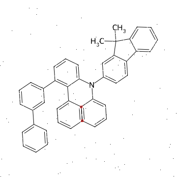 CC1(C)c2ccccc2-c2ccc(N(c3ccccc3)c3cccc(-c4cccc(-c5ccccc5)c4)c3-c3ccccc3)cc21